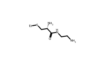 CCSC[C@H](N)C(=O)NCCN